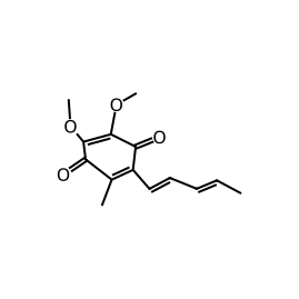 CC=CC=CC1=C(C)C(=O)C(OC)=C(OC)C1=O